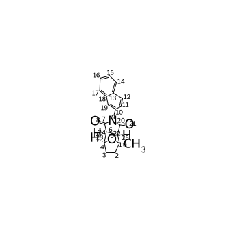 C[C@]12CC[C@H](O1)[C@H]1C(=O)N(c3ccc4ccccc4c3)C(=O)[C@H]12